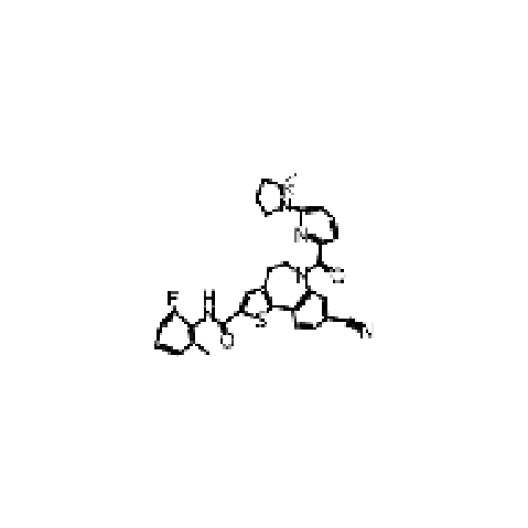 Cc1cccc(F)c1NC(=O)c1cc2c(s1)-c1ccc(C#N)cc1N(C(=O)c1cccc(N3CCC[C@@H]3C)n1)CC2